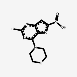 O=S(O)c1cc2nc(Cl)nc(N3CCOCC3)c2s1